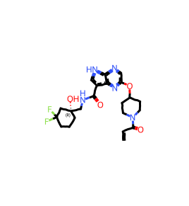 C=CC(=O)N1CCC(Oc2cnc3[nH]cc(C(=O)NC[C@@]4(O)CCCC(F)(F)C4)c3n2)CC1